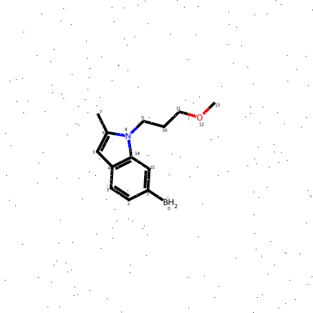 Bc1ccc2cc(C)n(CCCOC)c2c1